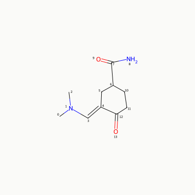 CN(C)C=C1CC(C(N)=O)CCC1=O